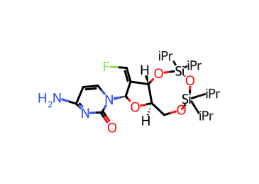 CC(C)[Si]1(C(C)C)OC[C@H]2O[C@@H](n3ccc(N)nc3=O)/C(=C\F)[C@@H]2O[Si](C(C)C)(C(C)C)O1